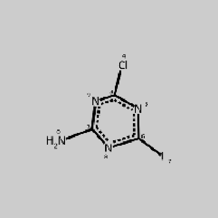 Nc1nc(Cl)nc(I)n1